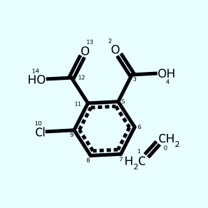 C=C.O=C(O)c1cccc(Cl)c1C(=O)O